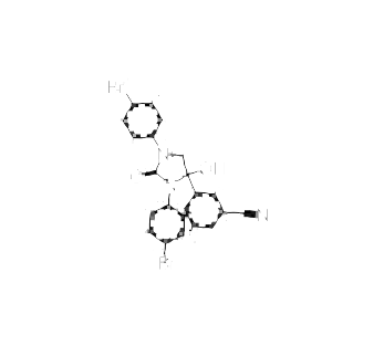 N#Cc1cc(Cl)cc(C2(O)CN(c3ccc(Br)cc3)C(=O)N2c2ccc(Br)cc2)c1